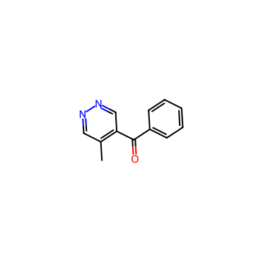 Cc1cnncc1C(=O)c1ccccc1